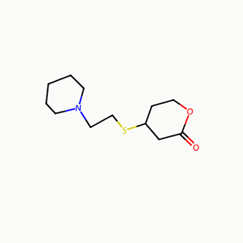 O=C1CC(SCCN2CCCCC2)CCO1